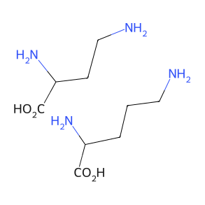 NCCC(N)C(=O)O.NCCCC(N)C(=O)O